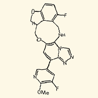 COc1ncc(-c2cc3c(n4cnnc24)NCc2c(F)ccc4c2[C@H](CO4)CO3)cc1F